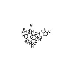 CO[C@H]1C(C(C)O)O[C@@H](c2nc(C#N)nn2-c2cc(Cl)cnc2C(F)(F)F)[C@@H](O)C1n1cc(-c2ccc(Cl)c(F)c2F)cn1